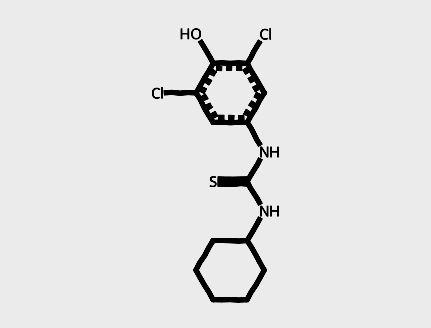 Oc1c(Cl)cc(NC(=S)NC2CCCCC2)cc1Cl